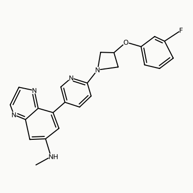 CNc1cc(-c2ccc(N3CC(Oc4cccc(F)c4)C3)nc2)c2nccnc2c1